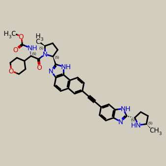 COC(=O)N[C@H](C(=O)N1[C@@H](C)CC[C@H]1c1nc2ccc3cc(C#Cc4ccc5nc([C@@H]6CC[C@H](C)N6)[nH]c5c4)ccc3c2[nH]1)C1CCOCC1